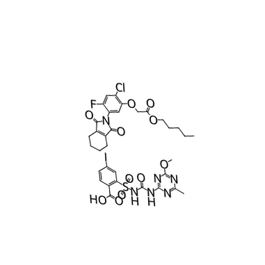 CCCCCOC(=O)COc1cc(N2C(=O)C3=C(CCCC3)C2=O)c(F)cc1Cl.COc1nc(C)nc(NC(=O)NS(=O)(=O)c2cc(I)ccc2C(=O)O)n1